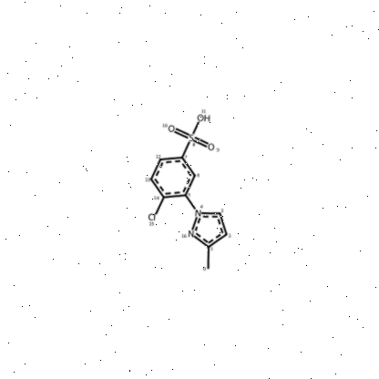 Cc1ccn(-c2cc(S(=O)(=O)O)ccc2Cl)n1